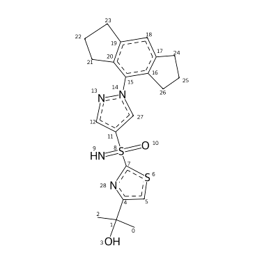 CC(C)(O)c1csc(S(=N)(=O)c2cnn(-c3c4c(cc5c3CCC5)CCC4)c2)n1